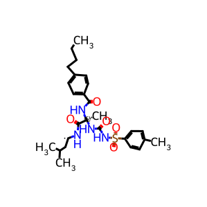 CCCCc1ccc(C(=O)N[C@@](C)(NC(=O)NS(=O)(=O)c2ccc(C)cc2)C(=O)N[CH]CC(C)C)cc1